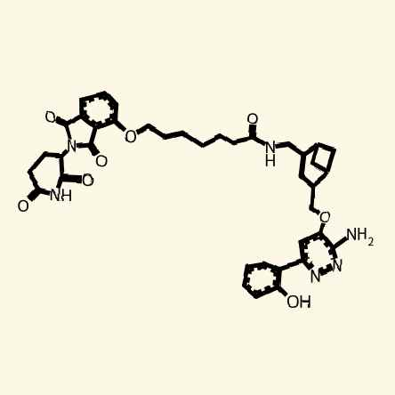 Nc1nnc(-c2ccccc2O)cc1OCC1CC(CNC(=O)CCCCCCOc2cccc3c2C(=O)N(C2CCC(=O)NC2=O)C3=O)C2CC1C2